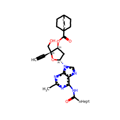 C#C[C@]1(CO)O[C@@H](n2cnc3c(NC(=O)CCCCCCC)nc(C)nc32)C[C@@H]1OC(=O)C12CCC(CC1)CC2